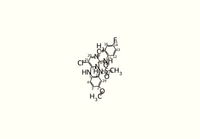 COc1ccc(Nc2nc(Nc3ccc(F)cc3C)ncc2Cl)c(NS(C)(=O)=O)c1